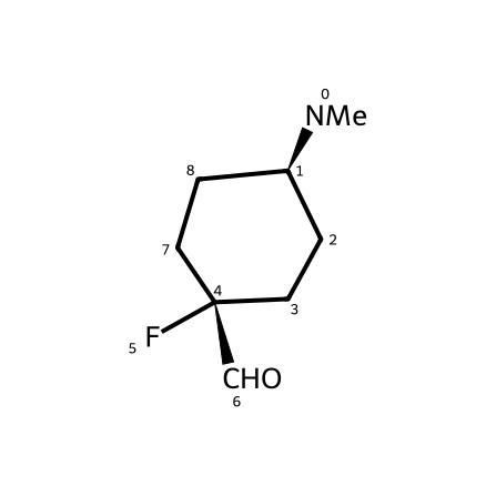 CN[C@H]1CC[C@@](F)(C=O)CC1